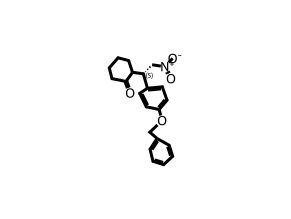 O=C1CCCCC1[C@H](C[N+](=O)[O-])c1ccc(OCc2ccccc2)cc1